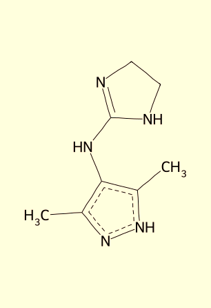 Cc1n[nH]c(C)c1NC1=NCCN1